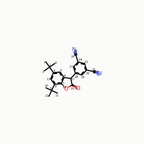 CC(C)(C)c1cc2c(c(C(C)(C)C)c1)OC(=O)C2c1cc(C#N)cc(C#N)c1